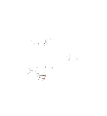 CC(C)(C)[Si](C)(C)OCCCCCCOC[C]12[CH]3[CH]4[CH]5[CH]1[Fe]45321678[CH]2[CH]1[C]6(C=O)[C]7(COCCCCCCO[Si](C)(C)C(C)(C)C)[CH]28